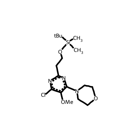 COc1c(Cl)nc(CCO[Si](C)(C)C(C)(C)C)nc1N1CCOCC1